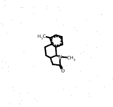 Cc1cccc2c1CCC1CC(=O)N(C)C21